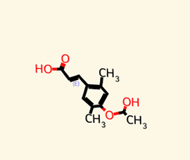 Cc1cc(OC(C)O)c(C)cc1/C=C/C(=O)O